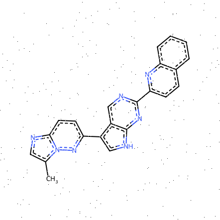 Cc1cnc2ccc(-c3c[nH]c4nc(-c5ccc6ccccc6n5)ncc34)nn12